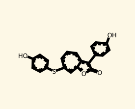 O=c1oc2cc(Sc3ccc(O)cc3)cccc-2c1-c1ccc(O)cc1